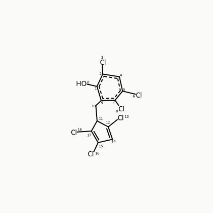 Oc1c(Cl)cc(Cl)c(Cl)c1CC1C(Cl)=CC(Cl)=C1Cl